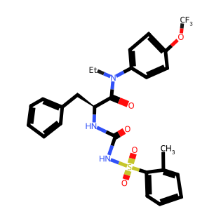 CCN(C(=O)[C@H](Cc1ccccc1)NC(=O)NS(=O)(=O)c1ccccc1C)c1ccc(OC(F)(F)F)cc1